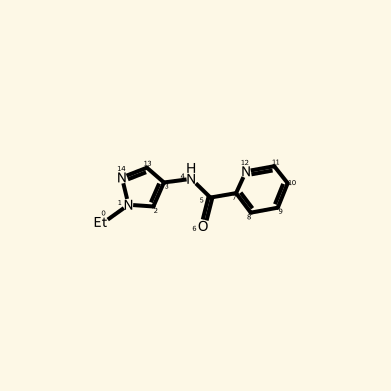 CCn1cc(NC(=O)c2ccccn2)cn1